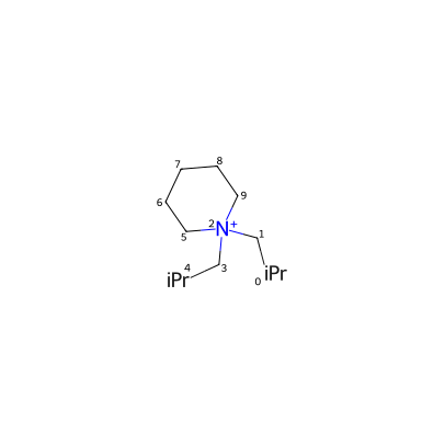 CC(C)C[N+]1(CC(C)C)CCCCC1